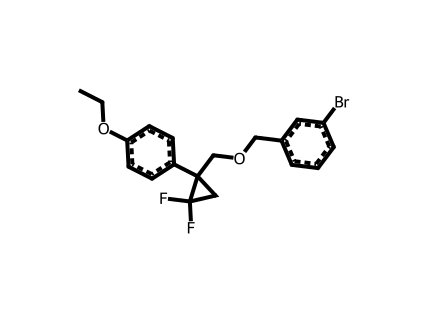 CCOc1ccc(C2(COCc3cccc(Br)c3)CC2(F)F)cc1